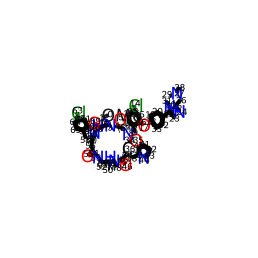 COC[C@@H]1NC(=O)[C@H](C)N(Cc2ccc(Cl)cc2Oc2ccc(-c3cnc(CN(C)C)n3C)cc2)C(=O)C[C@@H](Cc2ccccn2)C(=O)N(C)[C@@H](C)[C@H](C)NC(=O)C[C@H](Cc2ccc(Cl)cc2)N(C)C1=O